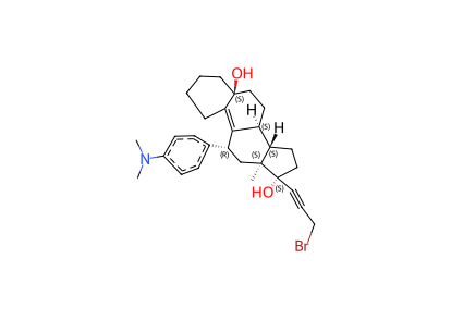 CN(C)c1ccc([C@H]2C[C@@]3(C)[C@@H](CC[C@@]3(O)C#CCBr)[C@@H]3CC[C@@]4(O)CCCCC4=C32)cc1